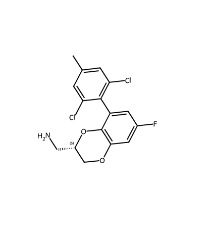 Cc1cc(Cl)c(-c2cc(F)cc3c2O[C@@H](CN)CO3)c(Cl)c1